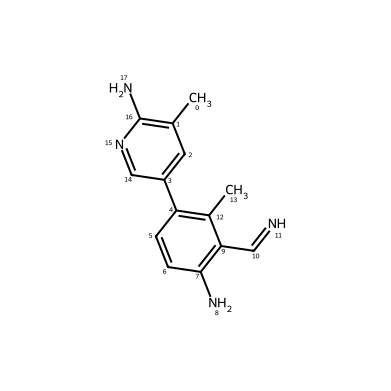 Cc1cc(-c2ccc(N)c(C=N)c2C)cnc1N